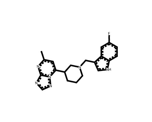 Cc1cc(C2CCCN(Cc3c[nH]c4ccc(F)cc34)C2)n2ncnc2n1